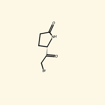 O=C1CC[C@@H](C(=O)CBr)N1